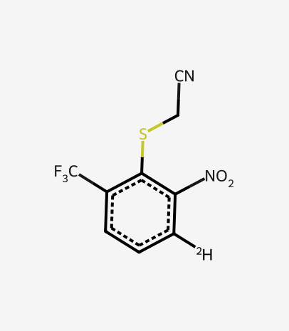 [2H]c1ccc(C(F)(F)F)c(SCC#N)c1[N+](=O)[O-]